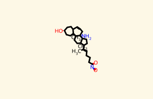 C/C(=C\CCCC(=O)N=O)C1CCC2[C@]1(C)CCC1C3(C)CC[C@H](O)CCC3C=CC[C@]12N